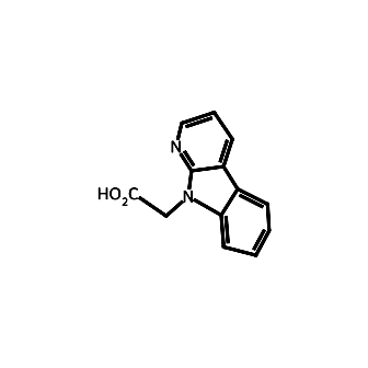 O=C(O)Cn1c2ccccc2c2cccnc21